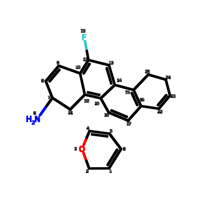 C1=CCOC=C1.NC1C=Cc2c(F)cc3c4c(ccc3c2C1)C=CCC4